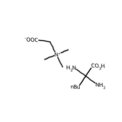 CCCCC(N)(N)C(=O)O.C[N+](C)(C)CC(=O)[O-]